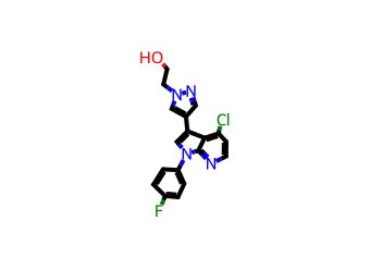 OCCn1cc(-c2cn(-c3ccc(F)cc3)c3nccc(Cl)c23)cn1